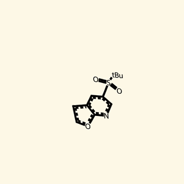 CC(C)(C)S(=O)(=O)c1cnc2occc2c1